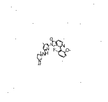 COc1cccc(F)c1-c1nccc2c1CN(c1cc(C)cc(NC3(C)CCNC3)n1)C2=O